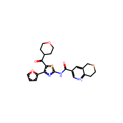 C=C1CCSC/C1=C/C(=C\N)C(=O)Nc1nc(-c2ccco2)c(C(=O)C2CCOCC2)s1